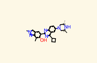 Cc1c(O)c(-c2nc(C3CCC3)c3cc(N4C[C@H](C)N[C@@H](C)C4)ccc3n2)cc2cn(C)nc12